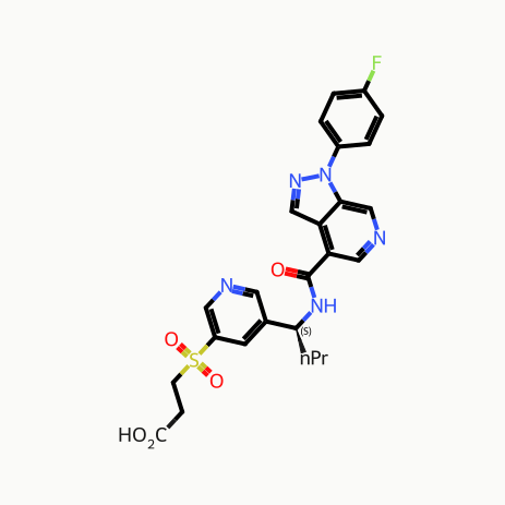 CCC[C@H](NC(=O)c1cncc2c1cnn2-c1ccc(F)cc1)c1cncc(S(=O)(=O)CCC(=O)O)c1